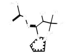 CC(C(=NOC(N)=O)n1cccn1)C(C)(C)C